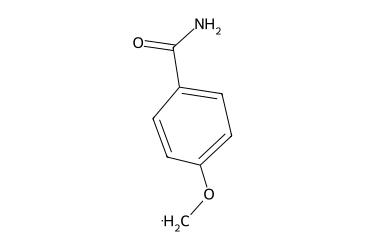 [CH2]Oc1ccc(C(N)=O)cc1